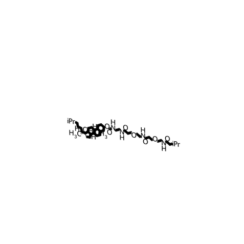 CC(C)CCC[C@@H](C)[C@H]1CC[C@H]2[C@@H]3CC=C4C[C@@H](OC(=O)NCCNC(=O)CCOCCNC(=O)CCOCCNC(=O)CC(C)C)CC[C@]4(C)[C@H]3CC[C@]12C